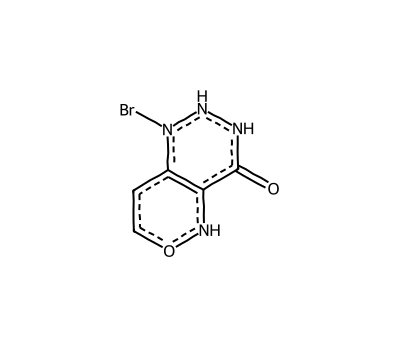 O=c1[nH][nH]n(Br)c2cco[nH]c1=2